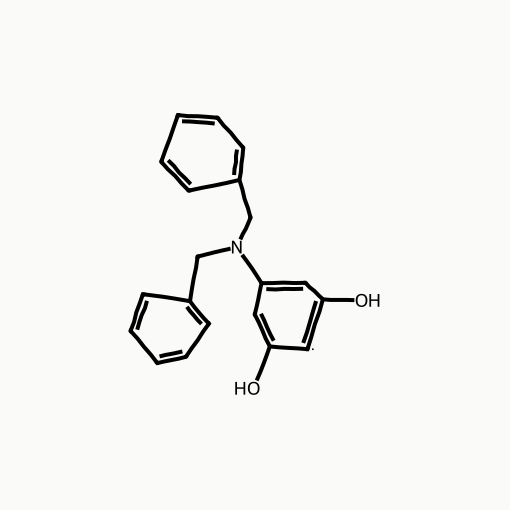 Oc1[c]c(O)cc(N(Cc2ccccc2)Cc2ccccc2)c1